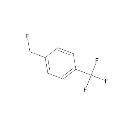 FCc1ccc(C(F)(F)F)cc1